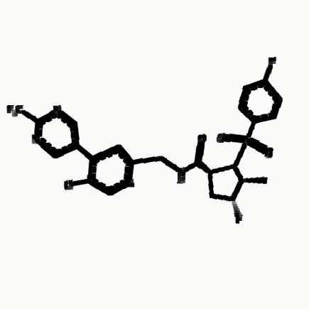 C[C@@H]1C(S(=O)(=O)c2ccc(F)cc2)[C@H](C(=O)NCc2cc(-c3cnc(C(F)(F)F)nc3)c(Cl)cn2)C[C@H]1F